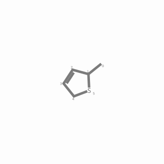 CC1C=CCS1